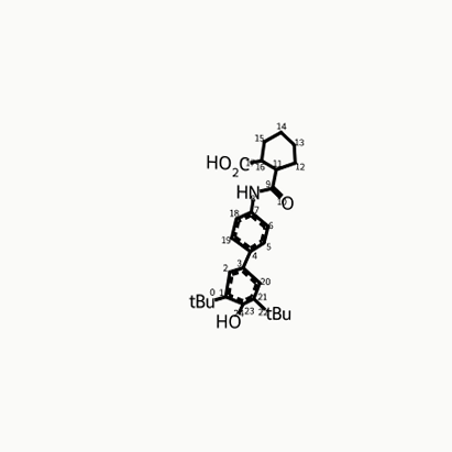 CC(C)(C)c1cc(-c2ccc(NC(=O)C3CCCCC3C(=O)O)cc2)cc(C(C)(C)C)c1O